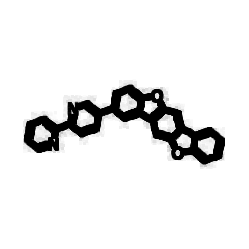 c1ccc(-c2ccc(-c3ccc4oc5cc6c(cc5c4c3)oc3ccccc36)cn2)nc1